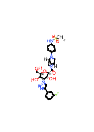 CS(=O)(=O)Nc1ccc(N2C[C@@H]3C[C@H]2CN3C(=O)[C@@H]2O[C@H](CO)[C@H](O)[C@H](n3cc(-c4cccc(F)c4)nn3)[C@H]2O)cc1